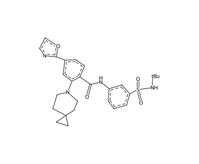 CC(C)(C)NS(=O)(=O)c1cccc(NC(=O)c2ccc(-c3ncco3)cc2N2CCC3(CC2)CC3)c1